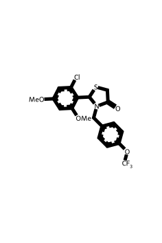 COc1cc(Cl)c(C2SCC(=O)N2Cc2ccc(OC(F)(F)F)cc2)c(OC)c1